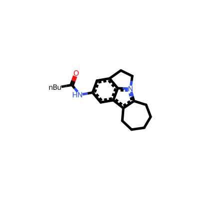 CCCCC(=O)Nc1cc2c3c(c1)c1c(n3CC2)CCCCC1